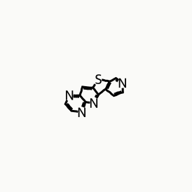 c1cc2c(cn1)sc1cc3nccnc3nc12